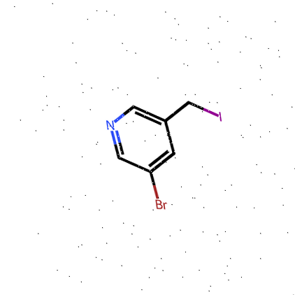 Brc1cncc(CI)c1